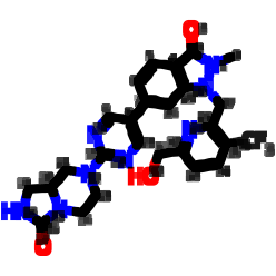 Cn1c(=O)c2ccc(-c3cnc(N4CCN5C(=O)NCC5C4)nc3)cc2n1Cc1nc(CO)ccc1C(F)(F)F